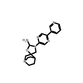 NC1OC2(CN3CCC2CC3)CN1c1cnc(-c2cccnc2)cn1